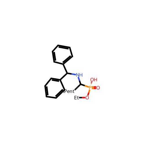 CCCCCC(NC(c1ccccc1)c1ccccc1)[P@](=O)(O)OCC